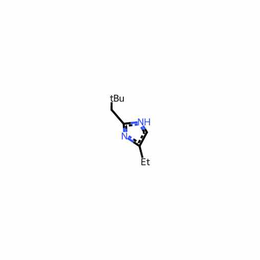 CCc1c[nH]c(CC(C)(C)C)n1